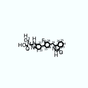 CCN(C(=O)O)c1nc2ccc(-c3ccc(Cc4n[nH]c(=O)c5ccccc45)cc3F)cc2[nH]1